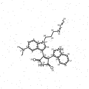 CN(C)c1ccc2c(c1)c(C1=C(c3c[nH]c4ccccc34)C(=O)NC1=O)cn2CCCN=C=S